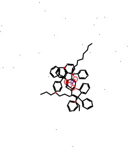 CCCCCCCCC(c1ccccc1)(c1ccccc1)c1ccccc1OP(Oc1ccccc1C(CCCCCCCC)(c1ccccc1)c1ccccc1)Oc1ccccc1C(CCCCCCCC)(c1ccccc1)c1ccccc1